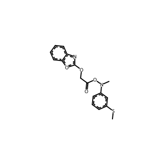 CSc1cccc(N(C)OC(=O)COc2nc3ccccc3o2)c1